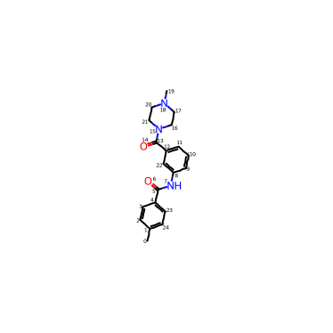 Cc1ccc(C(=O)Nc2c[c]cc(C(=O)N3CCN(C)CC3)c2)cc1